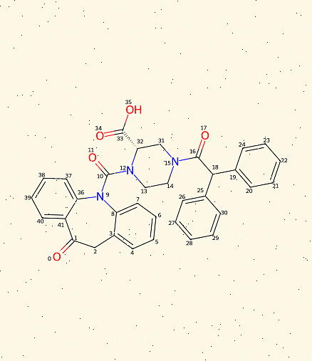 O=C1Cc2ccccc2N(C(=O)N2CCN(C(=O)C(c3ccccc3)c3ccccc3)C[C@H]2C(=O)O)c2ccccc21